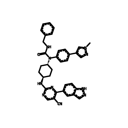 Cn1cc(-c2ccc(N(C(=O)NCc3ccccc3)[C@H]3CC[C@H](Nc4ncc(C#N)c(-c5ccc6[nH]ncc6c5)n4)CC3)cc2)cn1